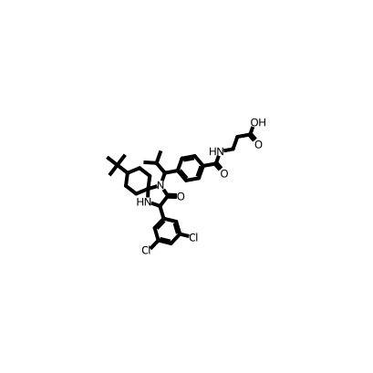 CC(C)C(c1ccc(C(=O)NCCC(=O)O)cc1)N1C(=O)C(c2cc(Cl)cc(Cl)c2)NC12CCC(C(C)(C)C)CC2